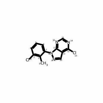 Cc1c(Cl)cccc1-n1ncc2c(Cl)ncnc21